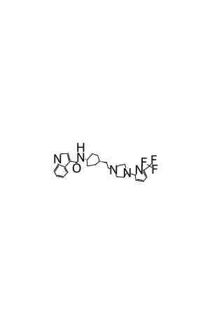 O=C(N[C@H]1CC[C@H](CCN2CCN(c3cccc(C(F)(F)F)n3)CC2)CC1)c1ccnc2ccccc12